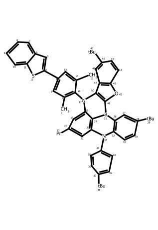 Cc1cc(-c2cc3ccccc3s2)cc(C)c1N1c2cc(C(C)C)cc3c2B(c2cc(C(C)(C)C)ccc2N3c2ccc(C(C)(C)C)cc2)c2oc3ccc(C(C)(C)C)cc3c21